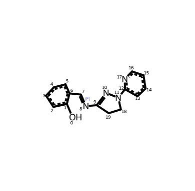 Oc1ccccc1/C=N/C1=NN(c2ccccn2)CC1